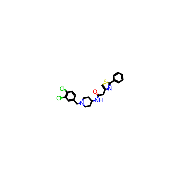 O=C(Cc1csc(-c2ccccc2)n1)NC1CCN(Cc2ccc(Cl)c(Cl)c2)CC1